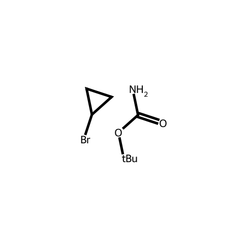 BrC1CC1.CC(C)(C)OC(N)=O